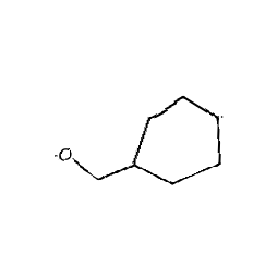 [O]CC1CC[CH]CC1